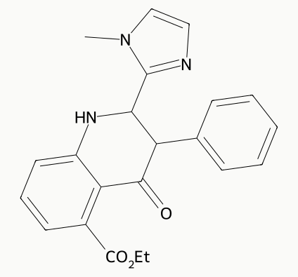 CCOC(=O)c1cccc2c1C(=O)C(c1ccccc1)C(c1nccn1C)N2